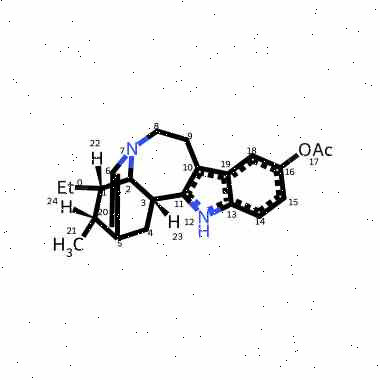 CC[C@@H]1C2[C@H]3CC(=CN2CCc2c3[nH]c3ccc(OC(C)=O)cc23)[C@@H]1C